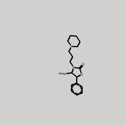 CCCCCCCC1C(c2ccccc2)OC(=O)N1CCCN1CCCCC1